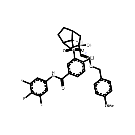 COc1ccc(CO/N=C/[C@]2(O)CC3CCC(C2)[C@H]3S(=O)(=O)c2cc(C(=O)Nc3cc(F)c(F)c(F)c3)ccc2Cl)cc1